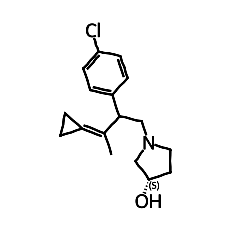 CC(=C1CC1)C(CN1CC[C@H](O)C1)c1ccc(Cl)cc1